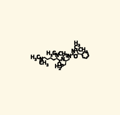 CN(C)CCCC[C@H](C(=O)N1CCN(C2=NC(C)(C)C(c3ccccc3)O2)CC1CP)N(C)C